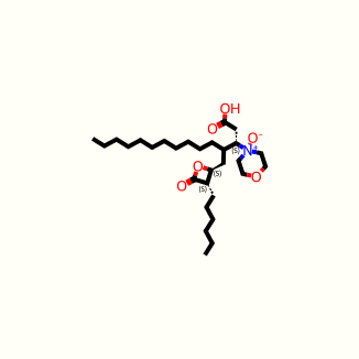 CCCCCCCCCCCC(C[C@@H]1OC(=O)[C@H]1CCCCCC)[C@H](CC(=O)O)[N+]1([O-])CCOCC1